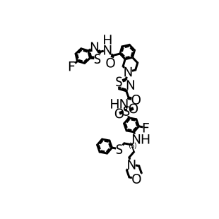 O=C(NS(=O)(=O)c1ccc(N[C@@H](CCN2CCOCC2)CSc2ccccc2)c(F)c1)c1csc(N2CCc3cccc(C(=O)Nc4nc5ccc(F)cc5s4)c3C2)n1